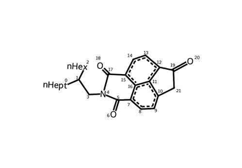 CCCCCCCC(CCCCCC)CN1C(=O)c2ccc3c4c(ccc(c24)C1=O)C(=O)C3